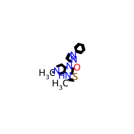 CC1=CSC(C(=O)N(c2ccn(-c3ccccc3)n2)C2CCN(C)CC2)N1